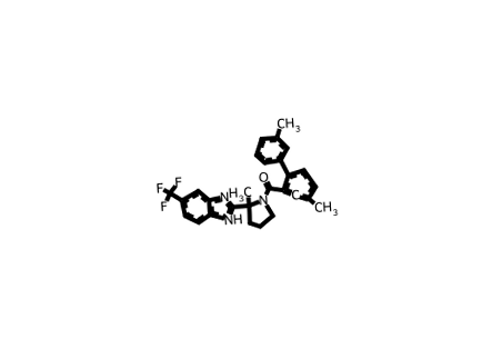 Cc1cccc(-c2ccc(C)cc2C(=O)N2CCCC2(C)c2nc3cc(C(F)(F)F)ccc3[nH]2)c1